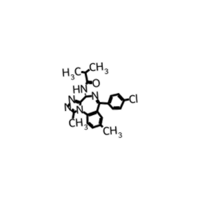 Cc1ccc2c(c1)C(c1ccc(Cl)cc1)=N[C@@H](NC(=O)C(C)C)c1nnc(C)n1-2